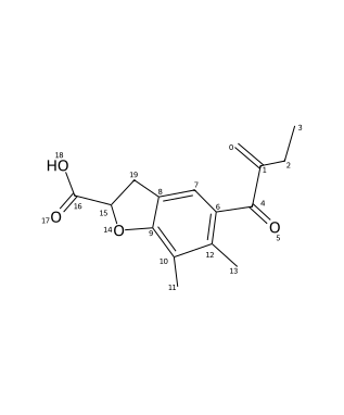 C=C(CC)C(=O)c1cc2c(c(C)c1C)OC(C(=O)O)C2